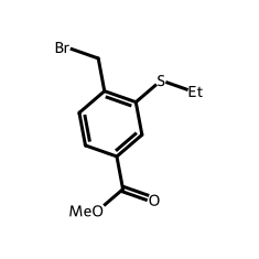 CCSc1cc(C(=O)OC)ccc1CBr